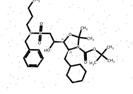 CCCCN(Cc1ccccc1)S(=O)(=O)CC(O)[C@H]1OC(C)(C)N(C(=O)OC(C)(C)C)[C@H]1CC1CCCCC1